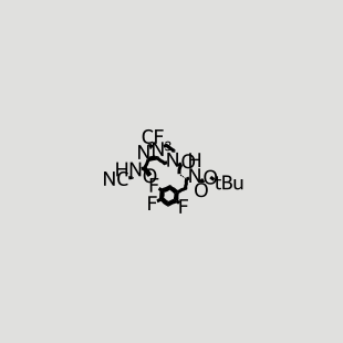 CC(C)(C)OC(=O)N[C@@H](CC(=O)N1CCn2c(C(F)(F)F)nc(C(=O)NCC#N)c2C1)Cc1cc(F)c(F)cc1F